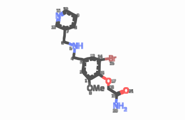 COc1cc(CNCc2cccnc2)cc(Br)c1OCC(N)=O